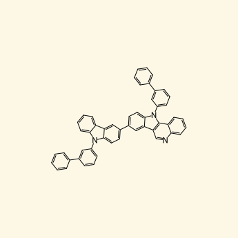 c1ccc(-c2cccc(-n3c4ccccc4c4cc(-c5ccc6c(c5)c5cnc7ccccc7c5n6-c5cccc(-c6ccccc6)c5)ccc43)c2)cc1